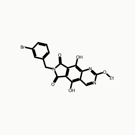 CCOc1ncc2c(O)c3c(c(O)c2n1)C(=O)N(Cc1cccc(Br)c1)C3=O